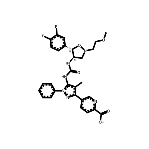 COCCN1C[C@@H](NC(=O)Nc2c(C)c(-c3ccc(C(=O)O)nc3)nn2-c2ccccc2)[C@H](c2ccc(F)c(F)c2)O1